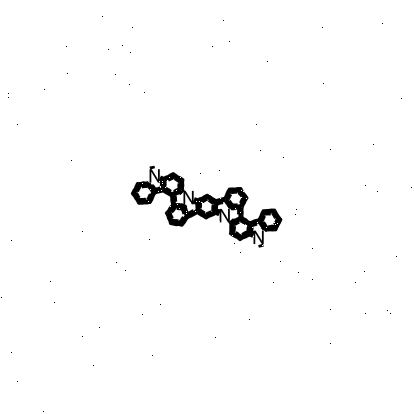 Cn1c2ccccc2c2c3c4cccc5c6cc7c(cc6n(c3ccc21)c54)c1cccc2c3c4c5ccccc5n(C)c4ccc3n7c12